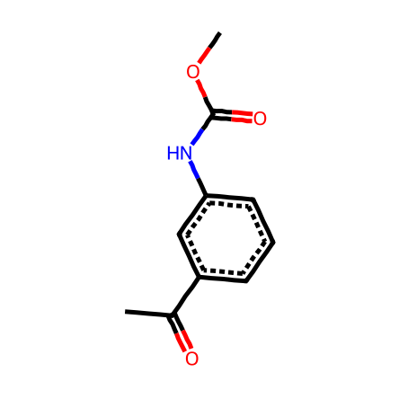 COC(=O)Nc1cccc(C(C)=O)c1